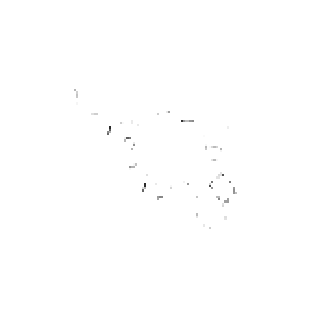 CO[C@H]1/C=C/C[C@H](C)C[S@@](=O)(NC(=O)NCC2CC2)=NC(=O)C2=CC=C3OC[C@]4(CCCc5cc(Cl)ccc54)CN(C[C@@H]4CC[C@H]41)C3C2